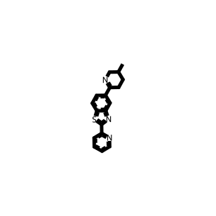 CC1CCC(c2ccc3sc(-c4ccccn4)nc3c2)=NC1